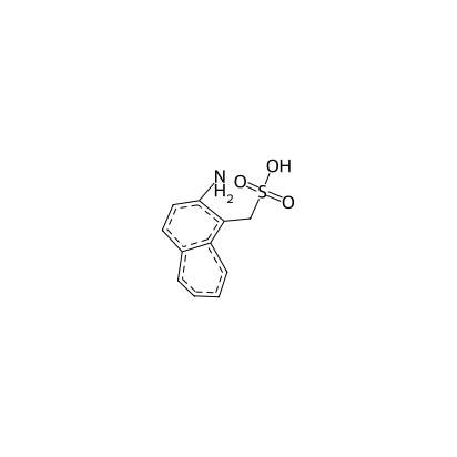 Nc1ccc2ccccc2c1CS(=O)(=O)O